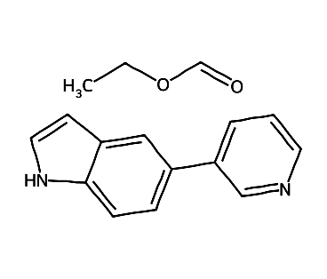 CCOC=O.c1cncc(-c2ccc3[nH]ccc3c2)c1